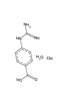 Cl.N=C(N)Nc1ccc(C(=O)O)cc1.O